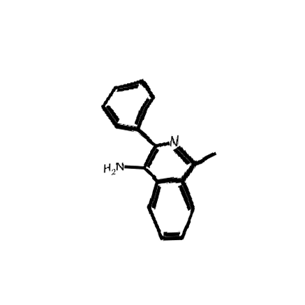 Cc1nc(-c2ccccc2)c(N)c2ccccc12